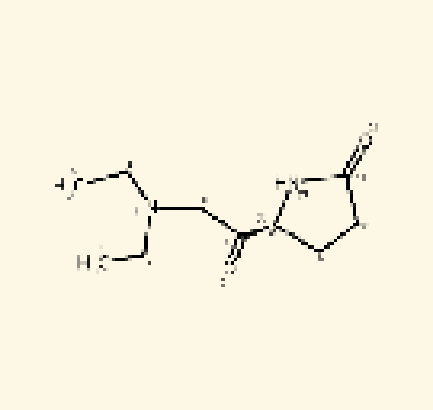 CCN(CC)CC(=O)[C@@H]1CCC(=O)N1